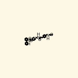 COCCNCc1ccc(CCC(=O)NCCN2CCC(OC(=O)Nc3ccccc3-c3ccccc3)CC2)cc1